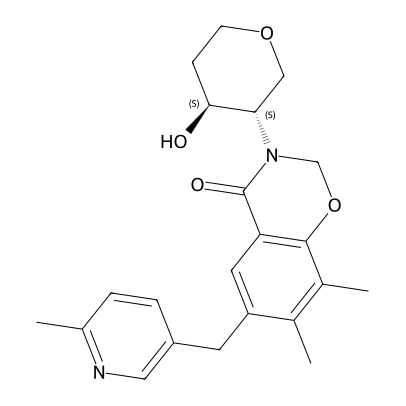 Cc1ccc(Cc2cc3c(c(C)c2C)OCN([C@H]2COCC[C@@H]2O)C3=O)cn1